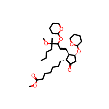 CCCCC(C)(OC)C(/C=C/[C@H]1[C@H](OC2CCCCO2)CC(=O)[C@@H]1CCCCCCC(=O)OC)OC1CCCCO1